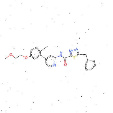 COCCOc1ccc(C)c(-c2ccnc(NC(=O)c3nnc(Cc4ccccc4)s3)c2)c1